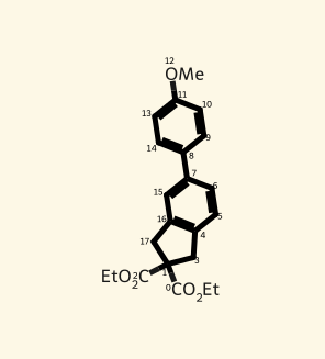 CCOC(=O)C1(C(=O)OCC)Cc2ccc(-c3ccc(OC)cc3)cc2C1